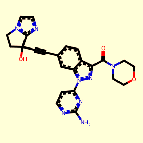 Nc1nccc(-n2nc(C(=O)N3CCOCC3)c3ccc(C#CC4(O)CCn5ccnc54)cc32)n1